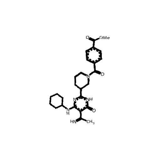 COC(=O)c1ccc(C(=O)N2CCCC(c3nc(NC4CCCCC4)c(C(C)=N)c(=O)[nH]3)C2)cc1